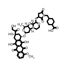 COc1cccc2c1C(=O)c1c(O)c3c(c(O)c1C2=O)C[C@@](O)(C(=O)CO)C[C@@H]3O[C@H]1C[C@H]2[C@H](O[C@@H]3C(SC4CC(=O)N(CC5CCC(C(=O)O)CC5)C4=O)OCCN32)[C@H](C)O1